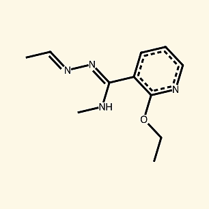 C/C=N/N=C(\NC)c1cccnc1OCC